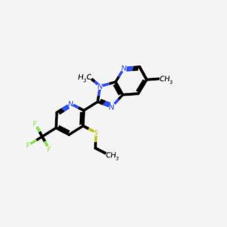 CCSc1cc(C(F)(F)F)cnc1-c1nc2cc(C)cnc2n1C